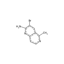 Cc1nccc2nc(N)c(Br)cc12